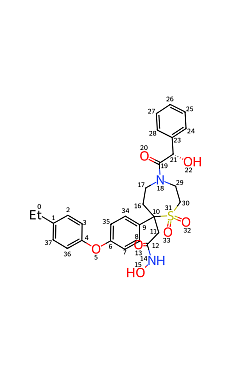 CCc1ccc(Oc2ccc(C3(CC(=O)NO)CCN(C(=O)[C@@H](O)c4ccccc4)CCS3(=O)=O)cc2)cc1